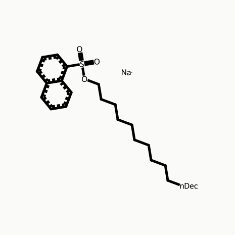 CCCCCCCCCCCCCCCCCCCCOS(=O)(=O)c1cccc2ccccc12.[Na]